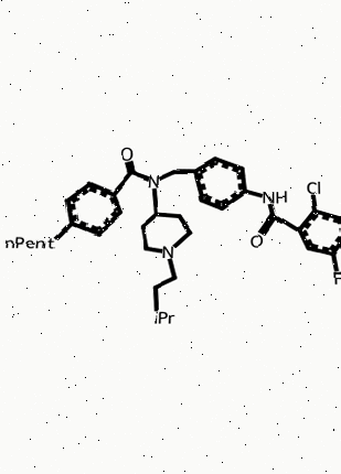 CCCCCc1ccc(C(=O)N(Cc2ccc(NC(=O)c3cc(F)ccc3Cl)cc2)C2CCN(CCC(C)C)CC2)cc1